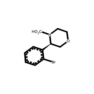 O=C(O)N1CCOC[C@H]1c1ccccc1Br